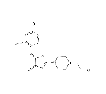 O=C1N=C(N2CCN(CCO)CC2)SC1=Cc1ccc(O)cc1O